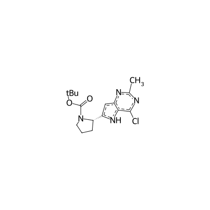 Cc1nc(Cl)c2[nH]c([C@@H]3CCCN3C(=O)OC(C)(C)C)cc2n1